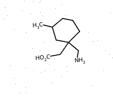 CC1CCCC(CN)(CC(=O)O)C1